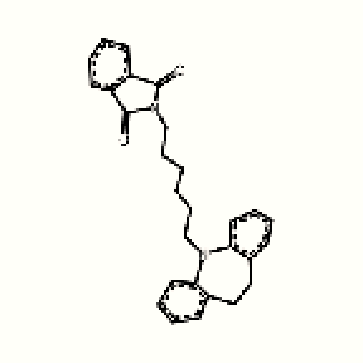 O=C1c2ccccc2C(=O)N1CCCCCCN1c2ccccc2CCc2ccccc21